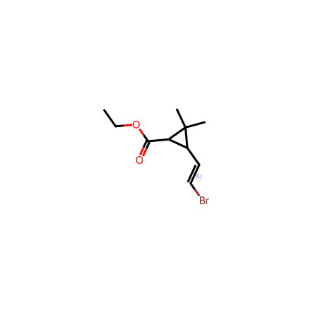 CCOC(=O)C1C(/C=C/Br)C1(C)C